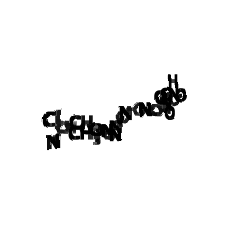 CC(C)(c1ccc(OCc2ccnc(N3CC4(CCN(CC5CCN(c6ccc7c(c6)C(=O)N(C6CCC(=O)NC6=O)C7=O)CC5)CC4)C3)n2)cc1)c1cc(Cl)cc(C#N)c1